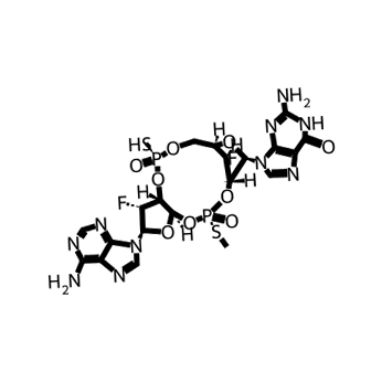 CS[P@]1(=O)O[C@H]2O[C@@H](n3cnc4c(N)ncnc43)[C@H](F)[C@@H]2O[P@@](=O)(S)OC[C@H]2O[C@@H](n3cnc4c(=O)[nH]c(N)nc43)[C@H](O1)[C@@H]2F